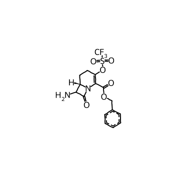 NC1C(=O)N2C(C(=O)OCc3ccccc3)=C(OS(=O)(=O)C(F)(F)F)CC[C@@H]12